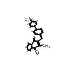 CC1=C(Cc2ccc(-c3ccc([N+](=O)[O-])cc3)cc2)C(=O)c2ccccc2C1=O